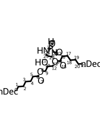 CCCCCCCCCCCCCCCC(=O)OCC(O)COC(=O)C(CCCCCCCCCCCCCC)ON1CCN[PH]1=O